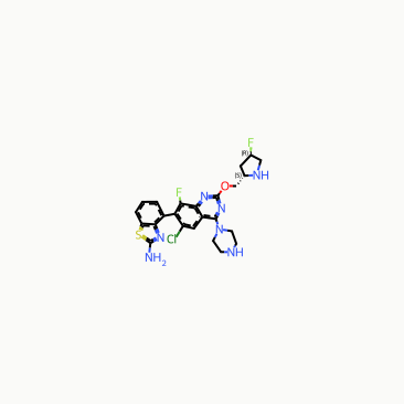 Nc1nc2c(-c3c(Cl)cc4c(N5CCNCC5)nc(OC[C@@H]5C[C@@H](F)CN5)nc4c3F)cccc2s1